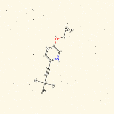 CC(C)[Si](C#Cc1ccc(OCC(=O)O)cn1)(C(C)C)C(C)C